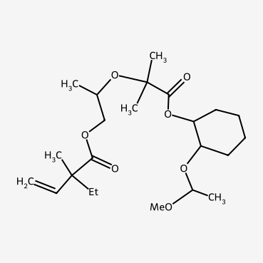 C=CC(C)(CC)C(=O)OCC(C)OC(C)(C)C(=O)OC1CCCCC1OC(C)OC